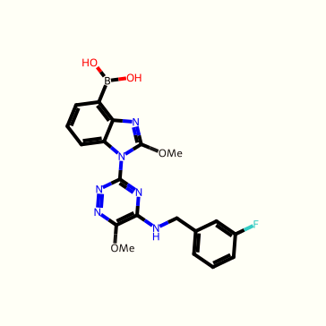 COc1nnc(-n2c(OC)nc3c(B(O)O)cccc32)nc1NCc1cccc(F)c1